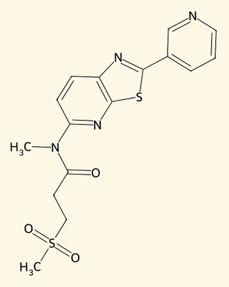 CN(C(=O)CCS(C)(=O)=O)c1ccc2nc(-c3cccnc3)sc2n1